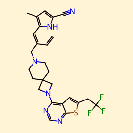 C=C/C(=C\c1[nH]c(C#N)cc1C)CN1CCC2(CC1)CN(c1ncnc3sc(CC(F)(F)F)cc13)C2